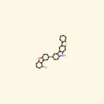 Clc1cccc2oc3ccc(-c4ccc5[nH]c6cc7sc8ccccc8c7cc6c5c4)cc3c12